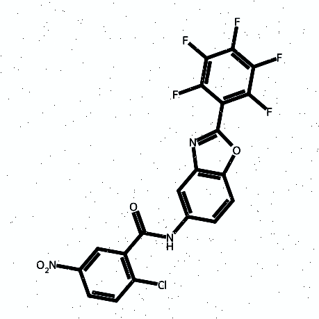 O=C(Nc1ccc2oc(-c3c(F)c(F)c(F)c(F)c3F)nc2c1)c1cc([N+](=O)[O-])ccc1Cl